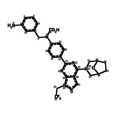 Nc1cccc(CN(C(=O)O)c2ccc(-c3nc(N4CC5CCC(C4)O5)c4cnn(CC(F)(F)F)c4n3)cc2)c1